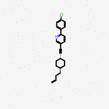 C=CCC[C@H]1CC[C@H](C#Cc2ccc(-c3ccc(Cl)cc3)nc2)CC1